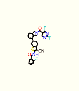 N#Cc1c(NC(=O)c2ccccc2F)sc2c1CCC(c1cccc3c1CN(C(=O)c1cnc(F)nc1F)C3)C2